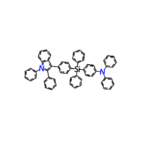 c1ccc(-c2c(-c3ccc([Si](c4ccccc4)(c4ccccc4)c4ccc(N(c5ccccc5)c5ccccc5)cc4)cc3)c3ccccc3n2-c2ccccc2)cc1